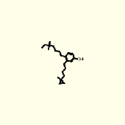 CCC(C)(C)CCCCc1ccc(O)cc1CCCCC1(C)CC1